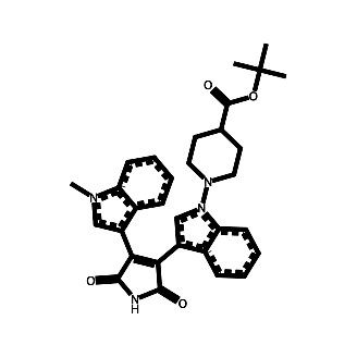 Cn1cc(C2=C(c3cn(N4CCC(C(=O)OC(C)(C)C)CC4)c4ccccc34)C(=O)NC2=O)c2ccccc21